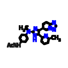 CC(=O)Nc1ccc(N(C)c2nc(-c3ccc4ncnn4c3)c(-c3cccc(C)n3)[nH]2)cc1